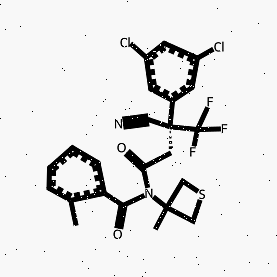 Cc1ccccc1C(=O)N(C(=O)C[C@](C#N)(c1cc(Cl)cc(Cl)c1)C(F)(F)F)C1(C)CSC1